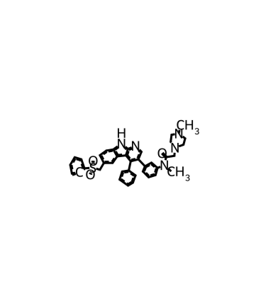 CN1CCN(CC(=O)N(C)c2cccc(-c3cnc4[nH]c5ccc(CS(=O)(=O)c6ccccc6)cc5c4c3-c3ccccc3)c2)CC1